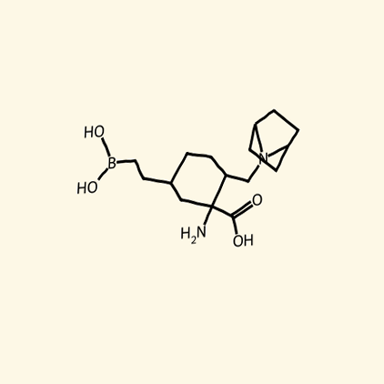 NC1(C(=O)O)CC(CCB(O)O)CCC1CN1C2CCC1CC2